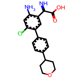 N=C(C(=O)O)c1cc(-c2ccc(C3CCOCC3)cc2)c(Cl)cc1N